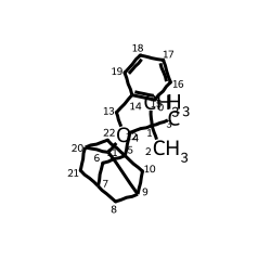 CC(C)(C)CC12CC3CC(C1)C(OCc1ccccc1)C(C3)C2